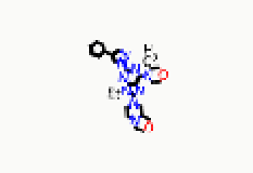 CCn1c(N2CCN3CCOCC3C2)nc2c(N3CCOCC3C)nc(-n3cc(-c4ccccc4)cn3)nc21